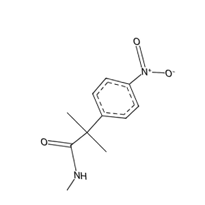 CNC(=O)C(C)(C)c1ccc([N+](=O)[O-])cc1